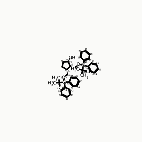 CC(C)(C)[Si](OC[C@H]1CC[C@@H](O)[C@@H]1CO[Si](c1ccccc1)(c1ccccc1)C(C)(C)C)(c1ccccc1)c1ccccc1